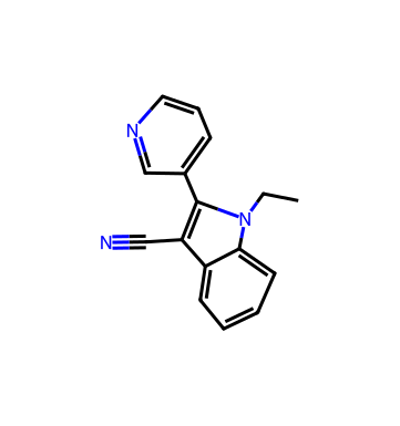 CCn1c(-c2cccnc2)c(C#N)c2ccccc21